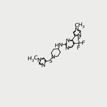 Cn1cnc(SN2CCC(Nc3ncc(C(F)(F)F)c(-c4cn(C)cn4)n3)CC2)c1